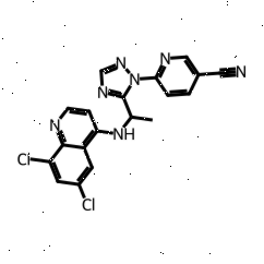 CC(Nc1ccnc2c(Cl)cc(Cl)cc12)c1ncnn1-c1ccc(C#N)cn1